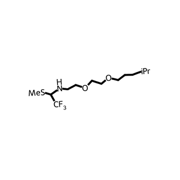 CSC(NCCOCCOCCCC(C)C)C(F)(F)F